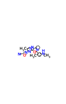 CNc1ccc(C)c(C(=O)N2CCCC[C@H]2c2cc3nc(N4COC(C#N)C4)c(C)cn3n2)c1